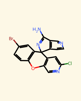 NC1=NC2(c3cc(Br)ccc3Oc3cnc(Cl)cc32)c2ccncc21